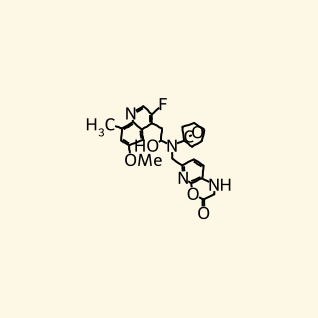 COc1cc(C)c2ncc(F)c(CC(O)N(Cc3ccc4c(n3)OC(=O)CN4)C34CCC(CC3)OC4)c2c1